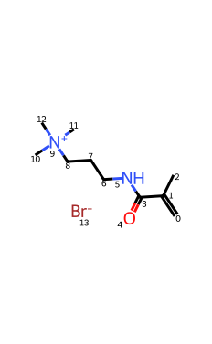 C=C(C)C(=O)NCCC[N+](C)(C)C.[Br-]